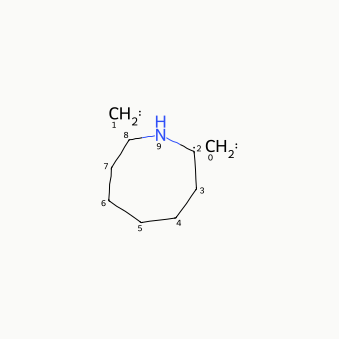 [CH2].[CH2].[CH]1CCCCCCN1